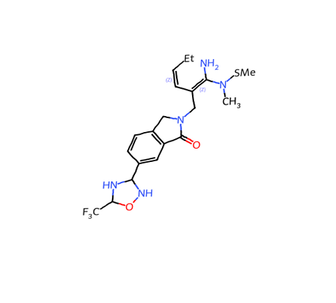 CC/C=C\C(CN1Cc2ccc(C3NOC(C(F)(F)F)N3)cc2C1=O)=C(/N)N(C)SC